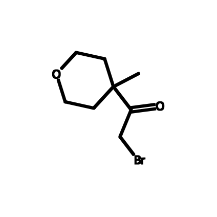 CC1(C(=O)CBr)CCOCC1